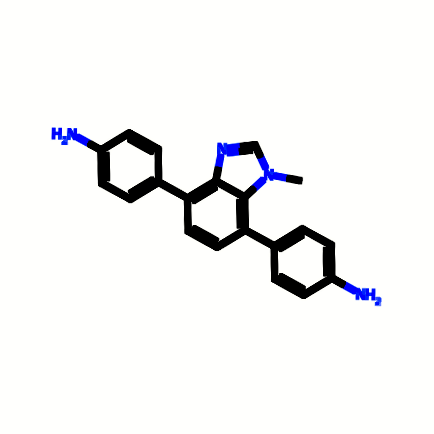 Cn1cnc2c(-c3ccc(N)cc3)ccc(-c3ccc(N)cc3)c21